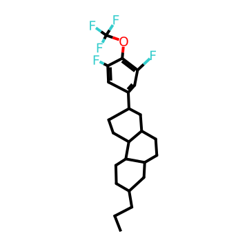 CCCC1CCC2C(CCC3CC(c4cc(F)c(OC(F)(F)F)c(F)c4)CCC32)C1